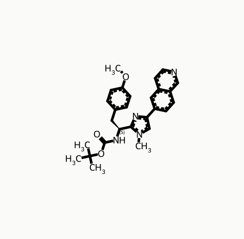 COc1ccc(C[C@H](NC(=O)OC(C)(C)C)c2nc(-c3ccc4cnccc4c3)cn2C)cc1